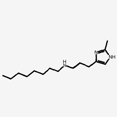 CCCCCCCCNCCCc1c[nH]c(C)n1